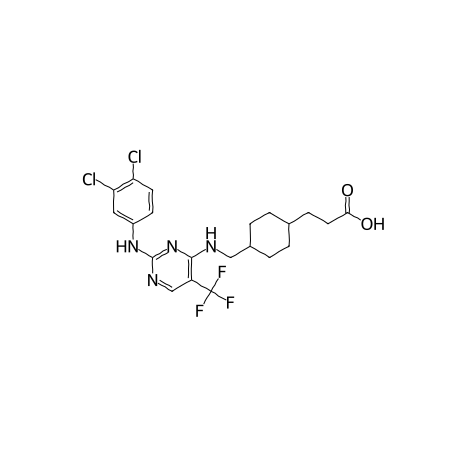 O=C(O)CCC1CCC(CNc2nc(Nc3ccc(Cl)c(Cl)c3)ncc2C(F)(F)F)CC1